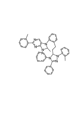 Cc1ccccc1-c1ncc2c(n1)N(C)C(C)N2c1ccccc1CCC1N(c2ccccc2C)N=C(c2ccccc2)N1c1ccccc1